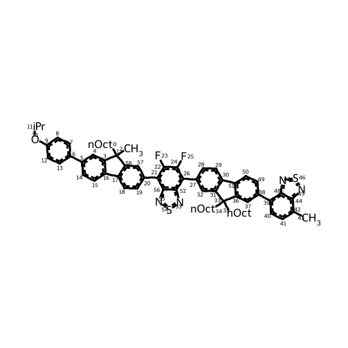 CCCCCCCCC1(C)c2cc(-c3ccc(OC(C)C)cc3)ccc2-c2ccc(-c3c(F)c(F)c(-c4ccc5c(c4)C(CCCCCCCC)(CCCCCCCC)c4cc(-c6ccc(C)c7nsnc67)ccc4-5)c4nsnc34)cc21